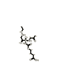 CCONCC(=O)P(=O)(NCC(C)=O)NC(=O)OCCCC(=O)O